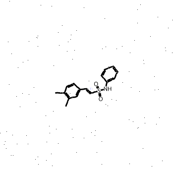 Cc1ccc(/C=C/S(=O)(=O)Nc2ccccc2)cc1C